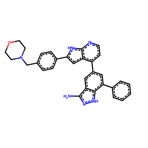 Nc1n[nH]c2c(-c3ccccc3)cc(-c3ccnc4[nH]c(-c5ccc(CN6CCOCC6)cc5)cc34)cc12